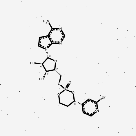 Nc1ncnc2c1ccn2[C@@H]1O[C@H](COP2(=O)OCC[C@@H](c3ccnc(Br)c3)O2)[C@@H](O)[C@H]1O